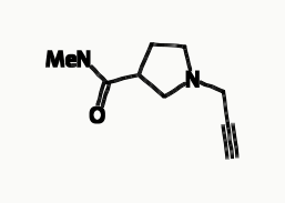 C#CCN1CCC(C(=O)NC)C1